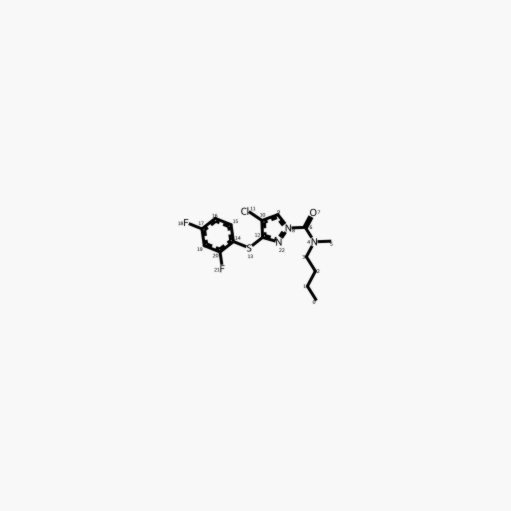 CCCCN(C)C(=O)n1cc(Cl)c(Sc2ccc(F)cc2F)n1